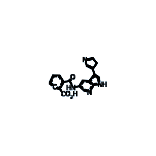 O=C(O)c1ccccc1C(=O)Nc1cnc2[nH]cc(C3=CN=CC3)c2c1